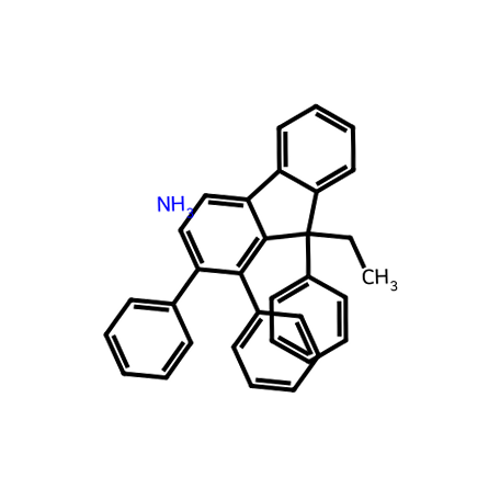 CCC1(c2ccccc2)c2ccccc2-c2ccc(-c3ccccc3)c(-c3ccccc3)c21.N